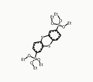 CCO[Si](OCC)(OCC)c1ccc2c(c1)Sc1ccc([Si](OCC)(OCC)OCC)cc1S2